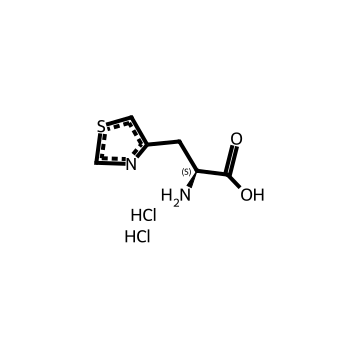 Cl.Cl.N[C@@H](Cc1cscn1)C(=O)O